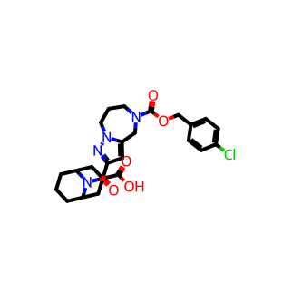 O=C(O)C1CC2CCCC(C1)N2C(=O)c1cc2n(n1)CCCN(C(=O)OCc1ccc(Cl)cc1)C2